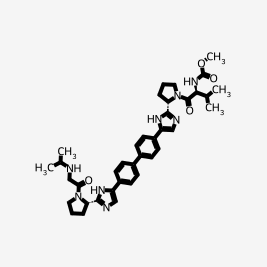 COC(=O)N[C@H](C(=O)N1CCC[C@H]1c1ncc(-c2ccc(-c3ccc(-c4cnc([C@@H]5CCCN5C(=O)CNC(C)C)[nH]4)cc3)cc2)[nH]1)C(C)C